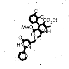 CCOC(=O)C1=C(C)NC(COCc2cc(=O)[nH]c(-c3ccccn3)n2)=C(C(=O)OC)C1c1cccc(Cl)c1Cl